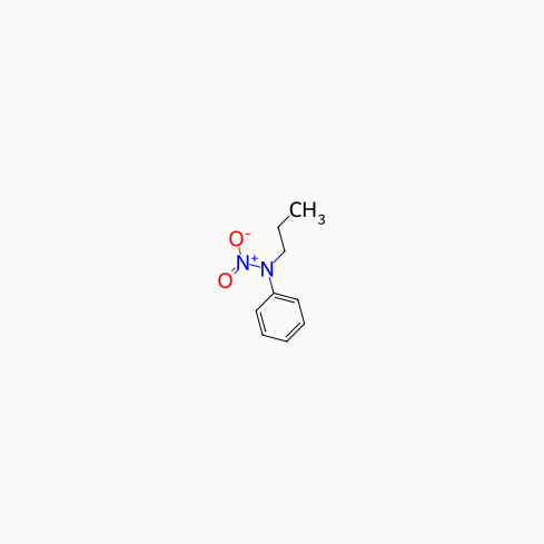 CCCN(c1ccccc1)[N+](=O)[O-]